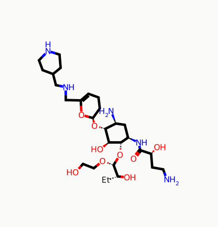 CC[C@@H](O)[C@H](OCCO)O[C@@H]1[C@@H](O)[C@H](O[C@@H]2CCC=C(CNCC3CCNCC3)O2)[C@@H](N)C[C@H]1NC(=O)[C@H](O)CCN